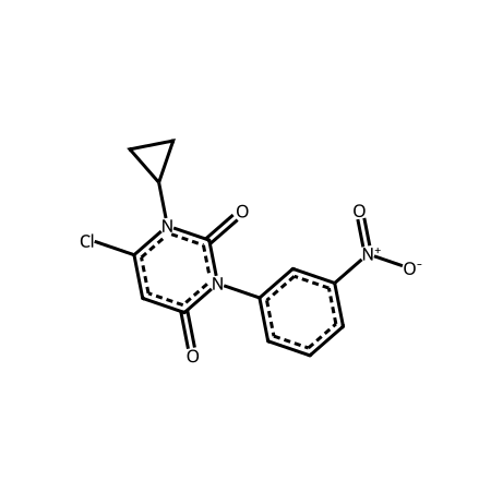 O=c1cc(Cl)n(C2CC2)c(=O)n1-c1cccc([N+](=O)[O-])c1